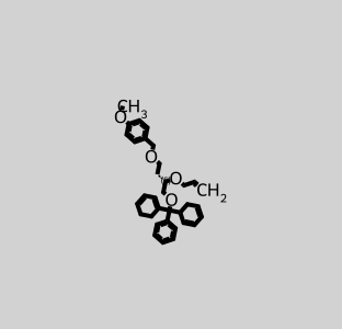 C=CCO[C@@H](CCOCc1ccc(OC)cc1)COC(C1=CC=CCC1)(c1ccccc1)C1C=CC=CC1